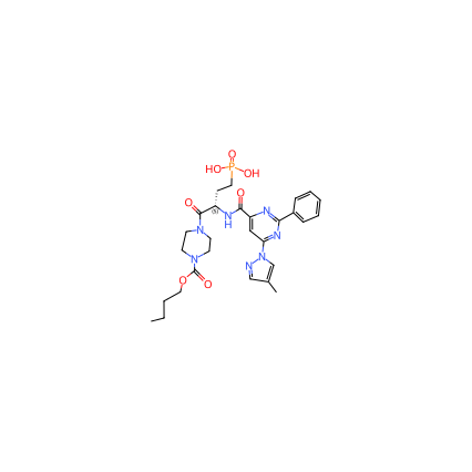 CCCCOC(=O)N1CCN(C(=O)[C@H](CCP(=O)(O)O)NC(=O)c2cc(-n3cc(C)cn3)nc(-c3ccccc3)n2)CC1